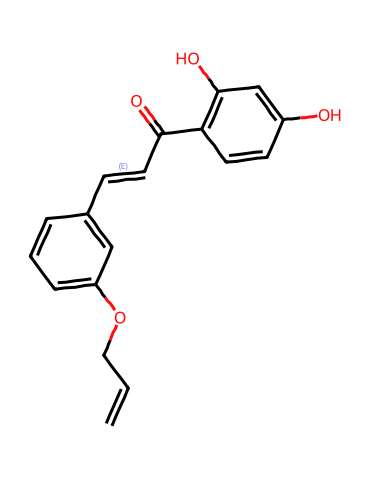 C=CCOc1cccc(/C=C/C(=O)c2ccc(O)cc2O)c1